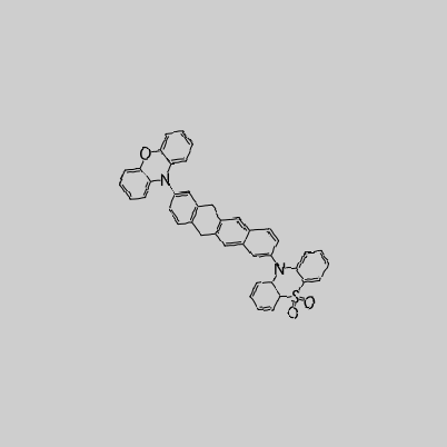 O=S1(=O)c2ccccc2N(c2ccc3cc4c(cc3c2)Cc2ccc(N3c5ccccc5Oc5ccccc53)cc2C4)C2C=CC=CC21